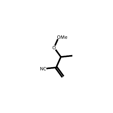 C=C(C#N)C(C)OOC